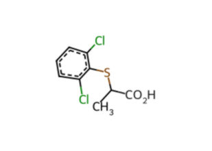 CC(Sc1c(Cl)cccc1Cl)C(=O)O